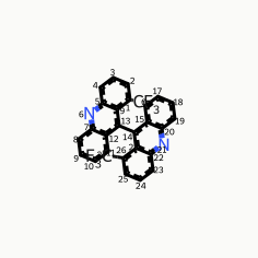 FC(F)(F)c1cccc2nc3ccccc3c(-c3c4ccccc4nc4cccc(C(F)(F)F)c34)c12